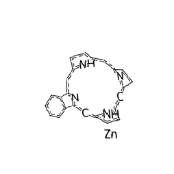 C1=Cc2cc3ccc(cc4nc(cc5ccc(cc1n2)[nH]5)-c1ccccc1-4)[nH]3.[Zn]